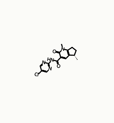 C[C@H]1CCc2c1cc(C(=O)Nc1ncc(Cl)cn1)c(=O)n2C